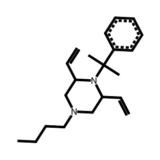 C=CC1CN(CCCC)CC(C=C)N1C(C)(C)c1ccccc1